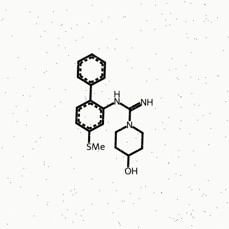 CSc1ccc(-c2ccccc2)c(NC(=N)N2CCC(O)CC2)c1